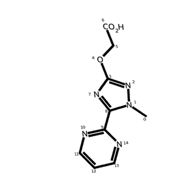 Cn1nc(OCC(=O)O)nc1-c1ncccn1